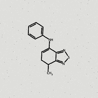 CC1CC=C(Nc2ccccc2)c2nsnc21